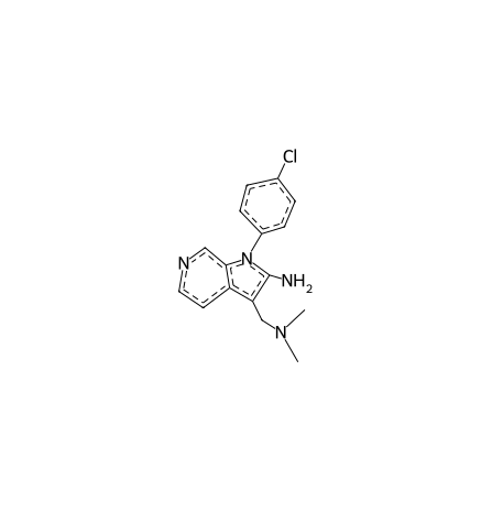 CN(C)Cc1c(N)n(-c2ccc(Cl)cc2)c2cnccc12